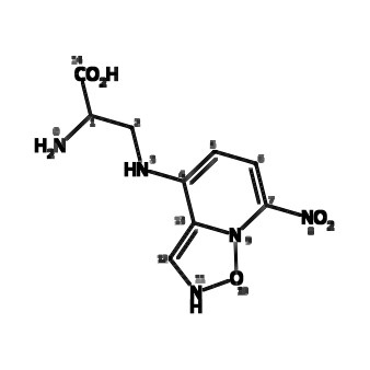 NC(CNC1=CC=C([N+](=O)[O-])N2ONC=C12)C(=O)O